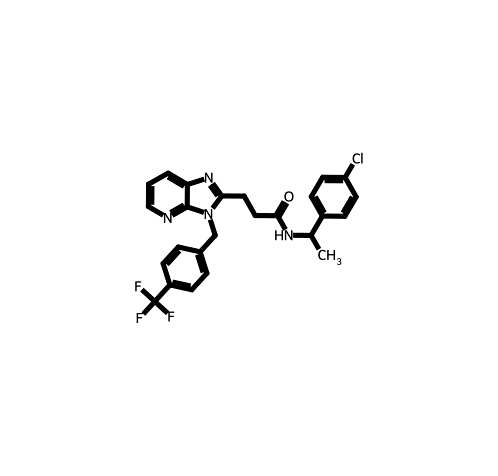 CC(NC(=O)CCc1nc2cccnc2n1Cc1ccc(C(F)(F)F)cc1)c1ccc(Cl)cc1